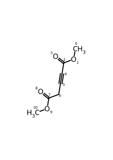 COC(=O)C#CCC(=O)OC